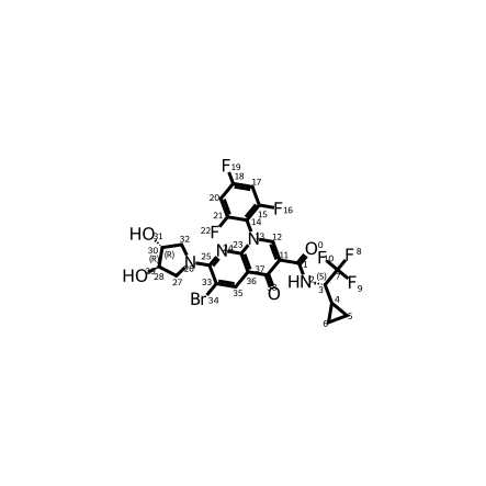 O=C(N[C@@H](C1CC1)C(F)(F)F)c1cn(-c2c(F)cc(F)cc2F)c2nc(N3C[C@@H](O)[C@H](O)C3)c(Br)cc2c1=O